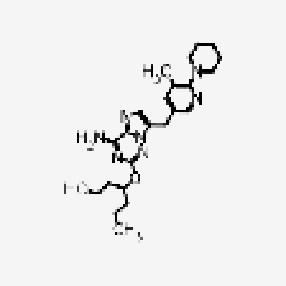 CCCC(CCO)Oc1nc(N)c2ncc(Cc3cnc(N4CCCCC4)c(C)c3)n2n1